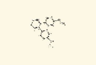 COc1ccc(C2=NCCN=C2c2ccc(OC)cc2)cc1